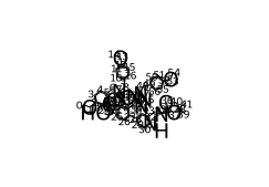 COc1ccc(CN(Cc2ccc(OC)cc2)S(=O)(=O)c2c(S(=O)O)ccc(-c3ccnc(CNC(=O)OC(C)(C)C)c3)c2-c2nnn(Cc3ccc(OC)cc3)n2)cc1